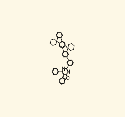 c1ccc(-c2nc(-c3cccc(-c4ccc5c(c4)C4(CCCCC4)c4cc6c(cc4-5)C4(CCCCC4)c4ccccc4-6)c3)nc3oc4ccccc4c23)cc1